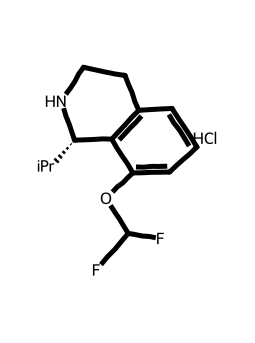 CC(C)[C@@H]1NCCc2cccc(OC(F)F)c21.Cl